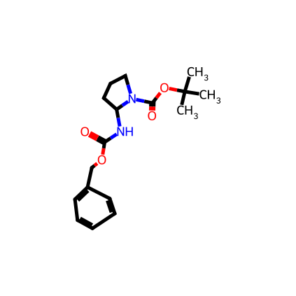 CC(C)(C)OC(=O)N1CCCC1NC(=O)OCc1ccccc1